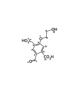 O=Ic1cc(C(=O)O)c(OCCO)cc1C(=O)O